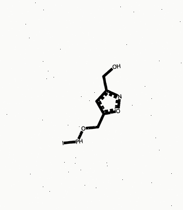 OCc1cc(COPI)on1